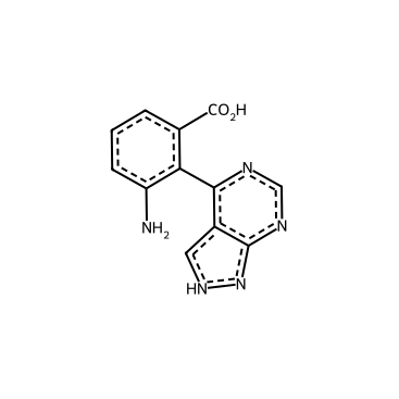 Nc1cccc(C(=O)O)c1-c1ncnc2n[nH]cc12